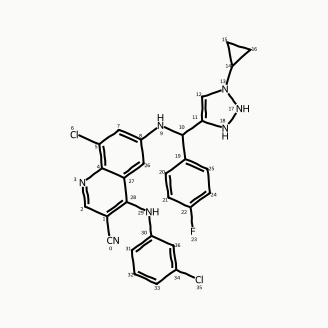 N#Cc1cnc2c(Cl)cc(NC(C3=CN(C4CC4)NN3)c3ccc(F)cc3)cc2c1Nc1cccc(Cl)c1